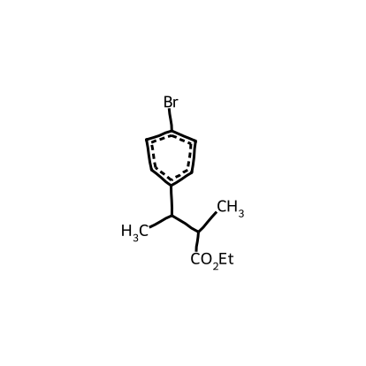 CCOC(=O)C(C)C(C)c1ccc(Br)cc1